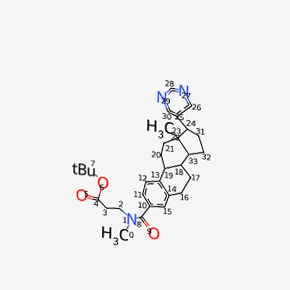 CN(CCC(=O)OC(C)(C)C)C(=O)c1ccc2c(c1)CCC1C2CCC2(C)C(c3cncnc3)CCC12